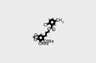 COc1c(CCCOC(=O)c2cc(C)ccc2Cl)cc2c(c1OC)OCO2